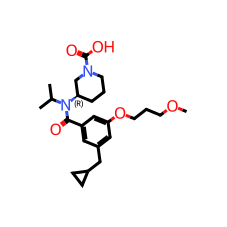 COCCCOc1cc(CC2CC2)cc(C(=O)N(C(C)C)[C@@H]2CCCN(C(=O)O)C2)c1